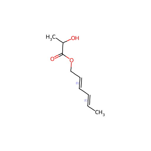 C/C=C/C=C/COC(=O)C(C)O